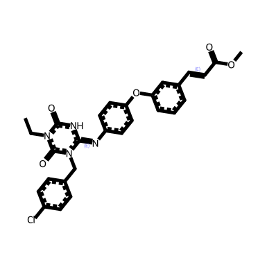 CCn1c(=O)[nH]/c(=N\c2ccc(Oc3cccc(/C=C/C(=O)OC)c3)cc2)n(Cc2ccc(Cl)cc2)c1=O